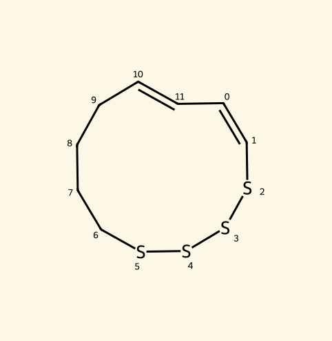 C1=C\SSSSCCCC/C=C/1